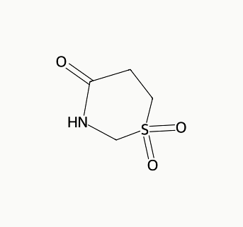 O=C1CCS(=O)(=O)CN1